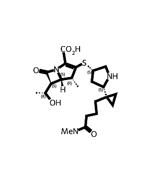 CNC(=O)CCCC1([C@@H]2C[C@H](SC3=C(C(=O)O)N4C(=O)[C@H]([C@@H](C)O)[C@H]4[C@H]3C)CN2)CC1